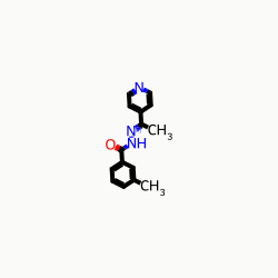 C/C(=N\NC(=O)c1cccc(C)c1)c1ccncc1